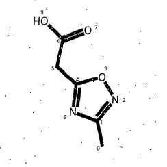 Cc1noc(CC(=O)O)n1